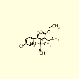 C#CC(C)(C)N(C(=O)c1ccc(Cl)cc1)C(CC)C(=O)OCC